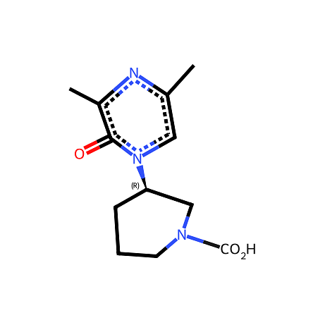 Cc1cn([C@@H]2CCCN(C(=O)O)C2)c(=O)c(C)n1